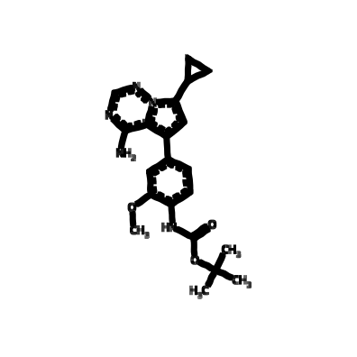 COc1cc(-c2cc(C3CC3)n3ncnc(N)c23)ccc1NC(=O)OC(C)(C)C